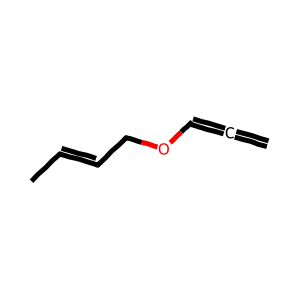 C=C=COCC=CC